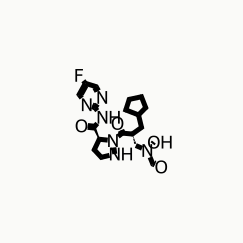 O=CN(O)C[C@@H](CC1CCCC1)C(=O)N1NCC[C@H]1C(=O)Nc1ncc(F)cn1